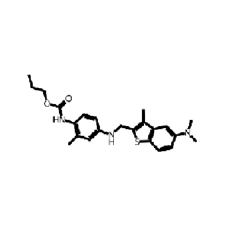 CCCOC(=O)Nc1ccc(NCc2sc3ccc(N(C)C)cc3c2C)cc1C